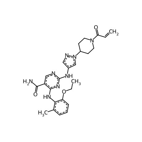 C=CC(=O)N1CCC(n2cc(Nc3ncc(C(N)=O)c(Nc4c(C)cccc4OCC)n3)cn2)CC1